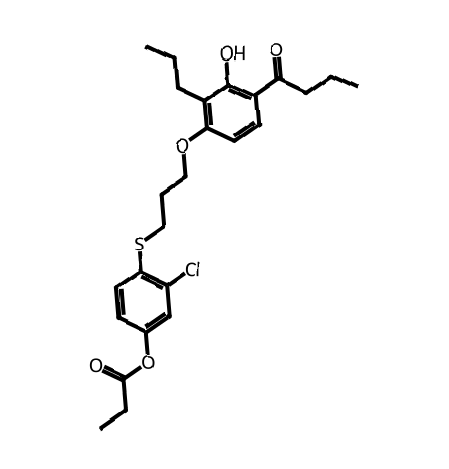 CCCC(=O)c1ccc(OCCCSc2ccc(OC(=O)CC)cc2Cl)c(CCC)c1O